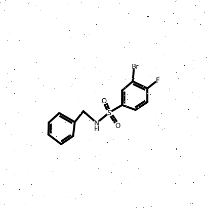 O=S(=O)(NCc1ccccc1)c1ccc(F)c(Br)c1